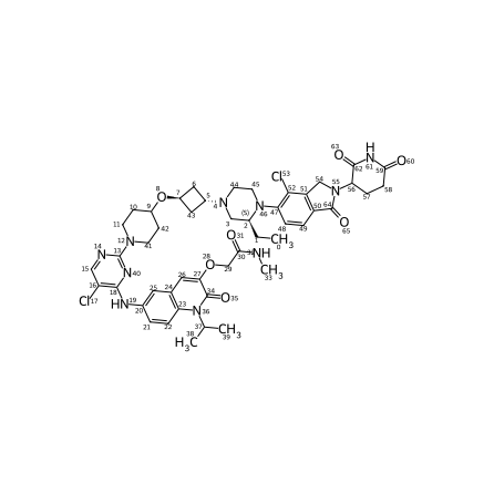 CC[C@H]1CN([C@H]2C[C@H](OC3CCN(c4ncc(Cl)c(Nc5ccc6c(c5)cc(OCC(=O)NC)c(=O)n6C(C)C)n4)CC3)C2)CCN1c1ccc2c(c1Cl)CN(C1CCC(=O)NC1=O)C2=O